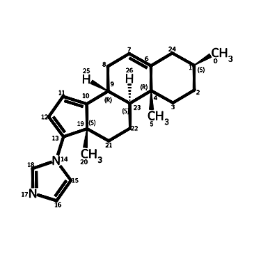 C[C@H]1CC[C@@]2(C)C(=CC[C@H]3C4=CC=C(n5ccnc5)[C@@]4(C)CC[C@@H]32)C1